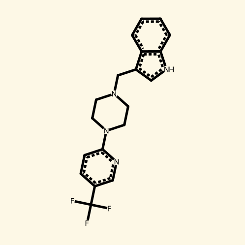 FC(F)(F)c1ccc(N2CCN(Cc3c[nH]c4ccccc34)CC2)nc1